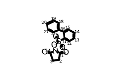 O=C1CCC(=O)N1OS(=O)(=O)c1ccccc1-c1ccccc1